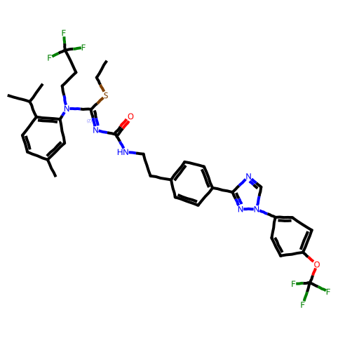 CCS/C(=N\C(=O)NCCc1ccc(-c2ncn(-c3ccc(OC(F)(F)F)cc3)n2)cc1)N(CCC(F)(F)F)c1cc(C)ccc1C(C)C